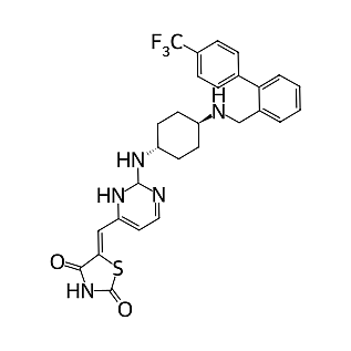 O=C1NC(=O)/C(=C/C2=CC=NC(N[C@H]3CC[C@H](NCc4ccccc4-c4ccc(C(F)(F)F)cc4)CC3)N2)S1